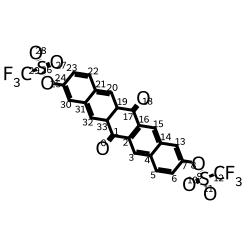 O=C1c2cc3ccc(OS(=O)(=O)C(F)(F)F)cc3cc2C(=O)C2C=c3ccc(OS(=O)(=O)C(F)(F)F)cc3=CC12